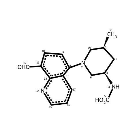 C[C@H]1C[C@@H](NC(=O)O)CN(c2ccc(C=O)c3ncccc23)C1